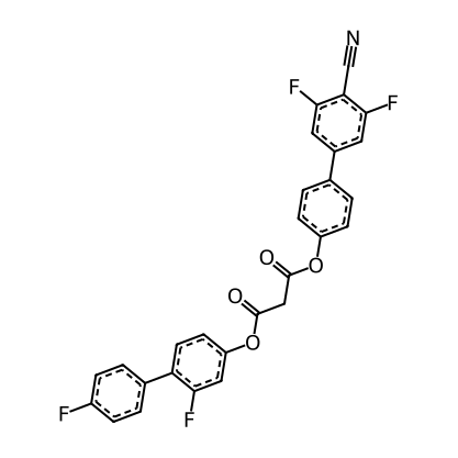 N#Cc1c(F)cc(-c2ccc(OC(=O)CC(=O)Oc3ccc(-c4ccc(F)cc4)c(F)c3)cc2)cc1F